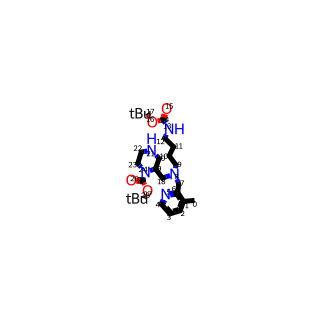 Cc1cccnc1CN(CCCCNC(=O)OC(C)(C)C)CC1CNCCN1C(=O)OC(C)(C)C